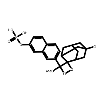 COC1(c2ccc3ccc(OP(=O)(O)O)cc3c2)OOC12C1CC3CC2CC(Cl)(C3)C1